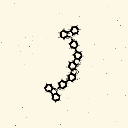 c1ccc2c(c1)c1ccccc1n2-c1ccc(-c2ccc3oc4c(ccc5c6cc(-c7ccc(-n8c9ccccc9c9ccccc98)cc7)ccc6oc54)c3c2)cc1